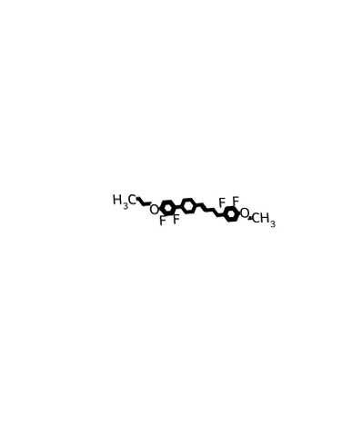 CCCCOc1ccc(C2CCC(C=CCCc3ccc(OCC)c(F)c3F)CC2)c(F)c1F